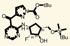 CC(C)(C)OC(=O)n1ccc(C(=O)c2cncnc2N[C@@H]2C[C@H](CO[Si](C)(C)C(C)(C)C)[C@@H](O)[C@@H]2F)n1